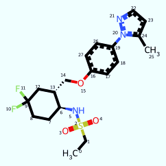 CCS(=O)(=O)N[C@H]1CCC(F)(F)C[C@@H]1COc1ccc(-n2nccc2C)cc1